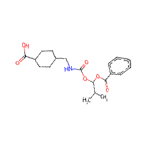 CC(C)C(OC(=O)NCC1CCC(C(=O)O)CC1)OC(=O)c1ccccc1